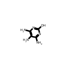 Nc1nc(O)nc(N)c1N